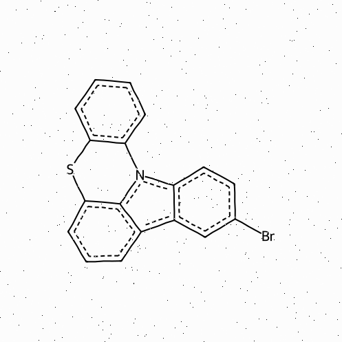 Brc1ccc2c(c1)c1cccc3c1n2-c1ccccc1S3